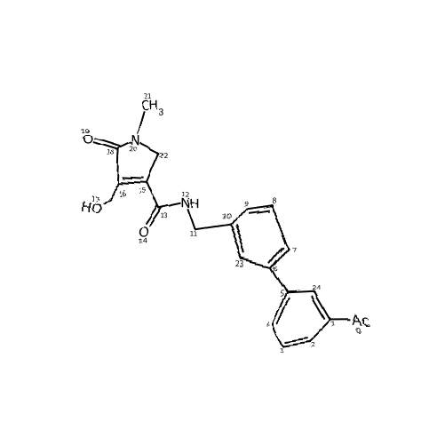 CC(=O)c1cccc(-c2cccc(CNC(=O)C3=C(O)C(=O)N(C)C3)c2)c1